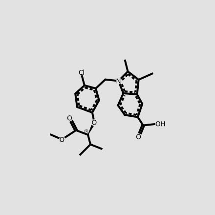 COC(=O)[C@@H](Oc1ccc(Cl)c(Cn2c(C)c(C)c3cc(C(=O)O)ccc32)c1)C(C)C